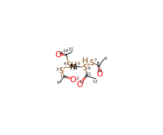 CC(=O)S[SH]([Ni][SH](SC(C)=O)C(C)=O)C(C)=O